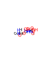 CCOC(=O)N[C@@H](CNC(=O)c1ccc(OCC[AsH]C(=O)NCc2ccccc2)cc1O)C(=O)O